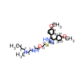 CCCCN(C)CCNCCOCCSc1nc(-c2ccc(OC)cc2)c(-c2ccc(OC)cc2)[nH]1